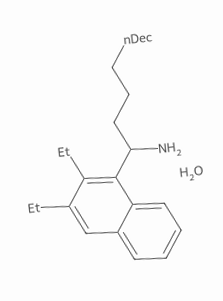 CCCCCCCCCCCCCC(N)c1c(CC)c(CC)cc2ccccc12.O